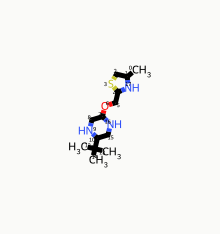 CC1CSC(COC2CNC(C(C)(C)C)CN2)N1